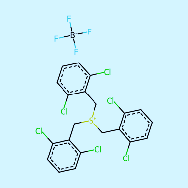 Clc1cccc(Cl)c1C[S+](Cc1c(Cl)cccc1Cl)Cc1c(Cl)cccc1Cl.F[B-](F)(F)F